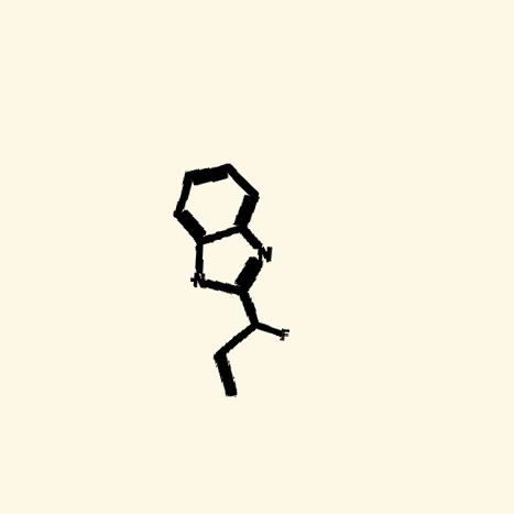 CCC(F)C1=Nc2ccccc2[N]1